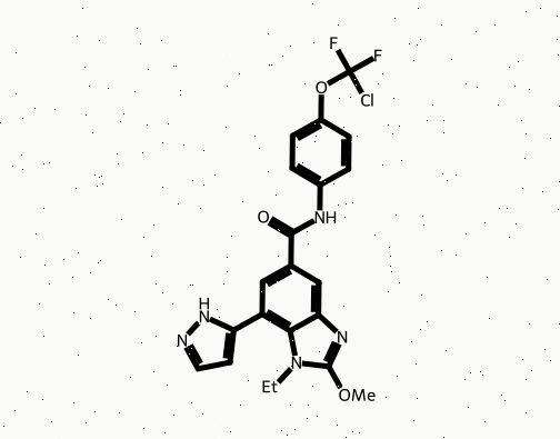 CCn1c(OC)nc2cc(C(=O)Nc3ccc(OC(F)(F)Cl)cc3)cc(-c3ccn[nH]3)c21